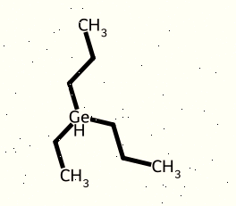 CC[CH2][GeH]([CH2]C)[CH2]CC